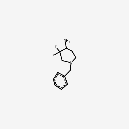 NC1CCN(Cc2ccccc2)CC1(F)F